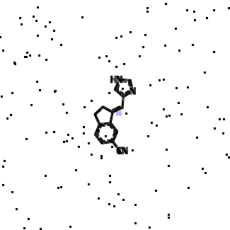 N#Cc1ccc2c(c1)/C(=C/c1c[nH]cn1)CC2